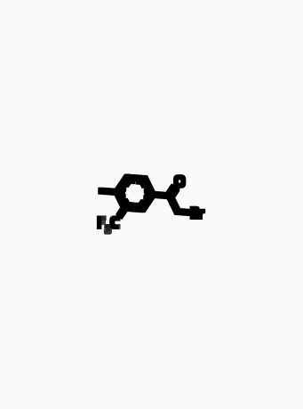 Cc1ccc(C(=O)CBr)cc1C(F)(F)F